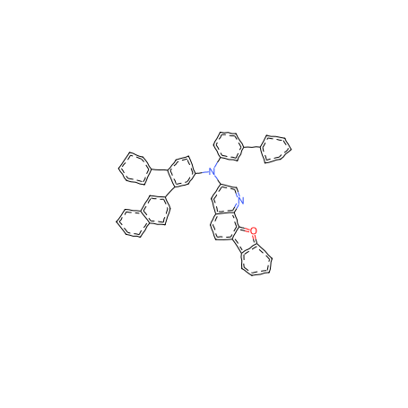 c1ccc(-c2cccc(N(c3ccc(-c4ccccc4)c(-c4ccc5ccccc5c4)c3)c3cnc4c(ccc5c6ccccc6oc54)c3)c2)cc1